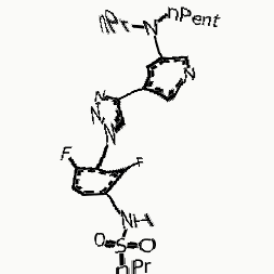 CCCCCN(CCC)c1cncc(-c2cn(-c3c(F)ccc(NS(=O)(=O)CCC)c3F)nn2)c1